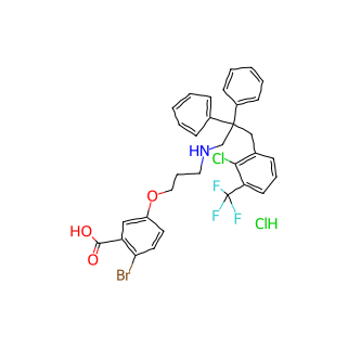 Cl.O=C(O)c1cc(OCCCNCC(Cc2cccc(C(F)(F)F)c2Cl)(c2ccccc2)c2ccccc2)ccc1Br